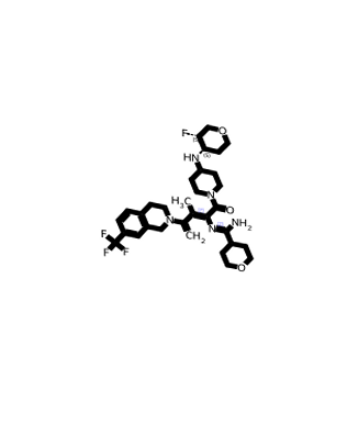 C=C(/C(C)=C(\N=C(/N)C1CCOCC1)C(=O)N1CCC(N[C@H]2CCOC[C@H]2F)CC1)N1CCc2ccc(C(F)(F)F)cc2C1